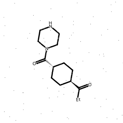 CCC(=O)[C@H]1CC[C@H](C(=O)N2CCNCC2)CC1